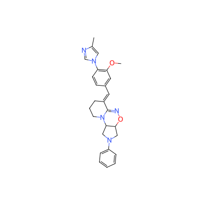 COc1cc(/C=C2\CCCN3C2=NOC2CN(c4ccccc4)CC23)ccc1-n1cnc(C)c1